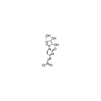 CCN(/C=N/c1ccn([C@@H]2O[C@H](CO)C(O)C2O)c(=O)n1)CC